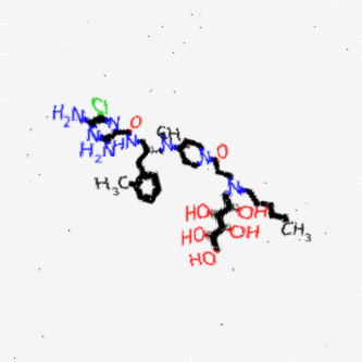 CCCCCCN(CCC(=O)N1CCC(N(C)C[C@@H](CNC(=O)c2nc(Cl)c(N)nc2N)Cc2ccccc2C)CC1)C[C@H](O)[C@@H](O)[C@H](O)[C@H](O)CO